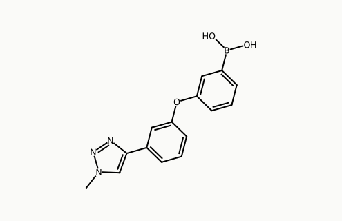 Cn1cc(-c2cccc(Oc3cccc(B(O)O)c3)c2)nn1